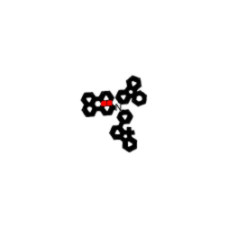 CC1(C)c2ccccc2-c2cccc(-c3cccc(N(c4ccc(-c5cccc6cccc(-c7ccccc7)c56)cc4)c4ccc5c(c4)C4(CCCCC4)c4ccccc4-5)c3)c21